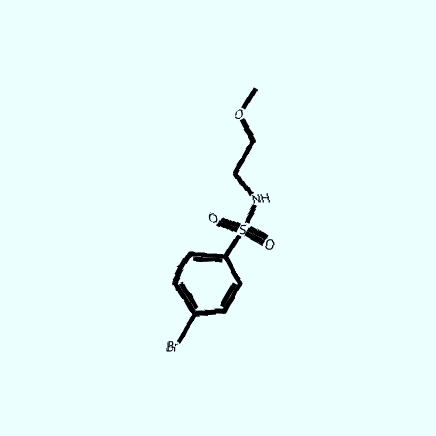 COCCNS(=O)(=O)c1ccc(Br)cc1